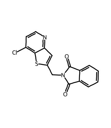 O=C1c2ccccc2C(=O)N1Cc1cc2nccc(Cl)c2s1